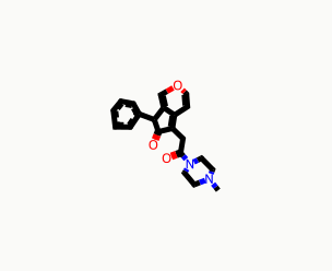 CN1CCN(C(=O)CC2=C3C=COC=C3C(c3ccccc3)C2=O)CC1